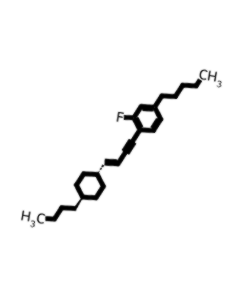 CCCCCc1ccc(C#CC=C[C@H]2CC[C@H](CCCC)CC2)c(F)c1